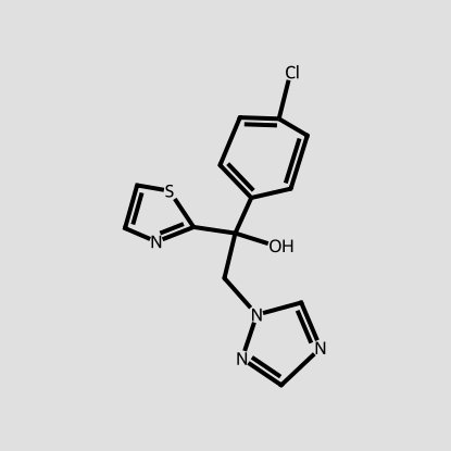 OC(Cn1cncn1)(c1ccc(Cl)cc1)c1nccs1